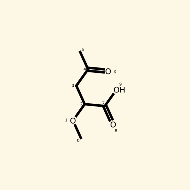 COC(CC(C)=O)C(=O)O